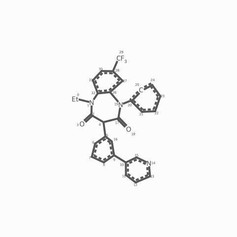 CCN1C(=O)C(c2cccc(-c3cccnc3)c2)C(=O)N(c2ccccc2)c2cc(C(F)(F)F)ccc21